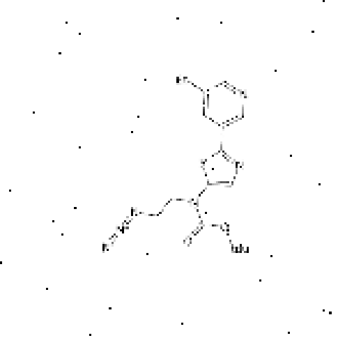 CCc1cncc(-c2ncc(N(CCN=[N+]=[N-])C(=O)OC(C)(C)C)s2)c1